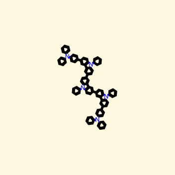 C1=CCC(n2c3ccc(-c4ccc(N(c5ccccc5)c5ccccc5)cc4)cc3c3cc(-c4ccc5c(c4)c4cc(-c6ccc7c(c6)c6cc(-c8ccc(N(c9ccccc9)c9ccccc9)cc8)ccc6n7-c6ccccc6)ccc4n5-c4ccccc4)ccc32)C=C1